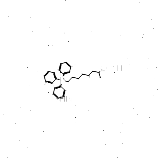 Br.CC(CCCCCC[PH](c1ccccc1)(c1ccccc1)c1ccccc1)C(=O)O